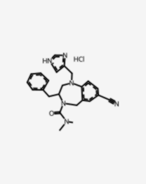 CN(C)C(=O)N1Cc2cc(C#N)ccc2N(Cc2c[nH]cn2)CC1Cc1ccccc1.Cl